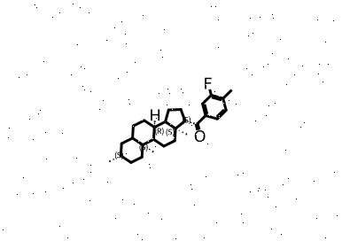 Cc1ccc(C(=O)[C@H]2CCC3[C@@H]4CCC5C[C@@H](C)CC[C@]5(C)C4CC[C@@]32C)cc1F